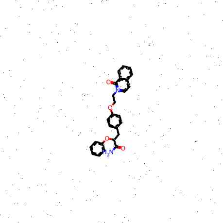 NC(=O)C(Cc1ccc(OCCn2ccc3ccccc3c2=O)cc1)Oc1ccccc1